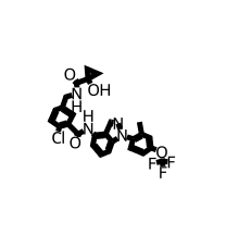 Cc1cc(OC(F)(F)F)ccc1-n1ncc2c(NC(=O)c3cc(CNC(=O)C4(O)CC4)ccc3Cl)cccc21